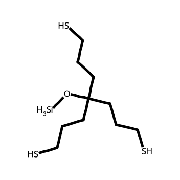 [SiH3]OC(CCCS)(CCCS)CCCS